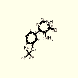 Nc1c(-c2cccc(OC(F)(F)F)c2)nc[nH]c1=O